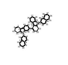 C1=Cc2c(n(-c3ccc4ccccc4c3)c3cc(C4=CCCc5c4c4ccccc4n5-c4ccc5ccccc5c4)ccc23)CC1